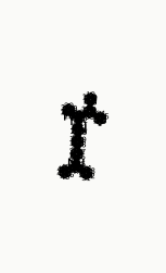 c1ccc(-c2cc(-c3ccccc3)cc(-c3cc(-c4ccccn4)nc(-c4ccc(-c5ccc(-c6ccc(-c7nc(-c8ccccc8)cc(-c8ccccc8)n7)cc6)cc5)cn4)c3)c2)cc1